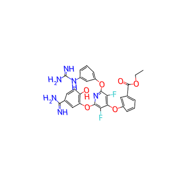 CCOC(=O)c1cccc(Oc2c(F)c(Oc3cccc(NC(=N)N)c3)nc(Oc3cc(C(=N)N)ccc3O)c2F)c1